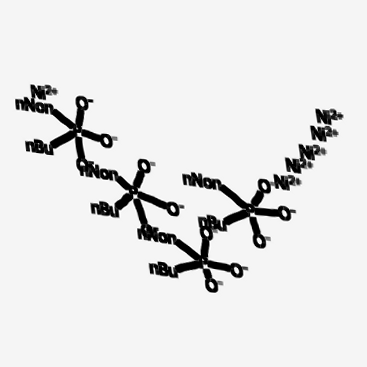 CCCCCCCCCP([O-])([O-])([O-])CCCC.CCCCCCCCCP([O-])([O-])([O-])CCCC.CCCCCCCCCP([O-])([O-])([O-])CCCC.CCCCCCCCCP([O-])([O-])([O-])CCCC.[Ni+2].[Ni+2].[Ni+2].[Ni+2].[Ni+2].[Ni+2]